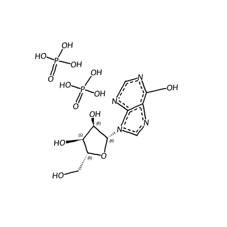 O=P(O)(O)O.O=P(O)(O)O.OC[C@H]1O[C@@H](n2cnc3c(O)ncnc32)[C@H](O)[C@@H]1O